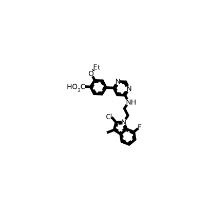 CCOc1cc(-c2cc(NCCn3c(Cl)c(C)c4cccc(F)c43)ncn2)ccc1C(=O)O